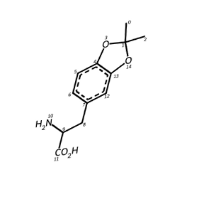 CC1(C)Oc2ccc(CC(N)C(=O)O)cc2O1